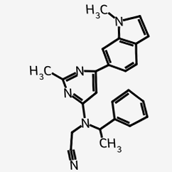 Cc1nc(-c2ccc3ccn(C)c3c2)cc(N(CC#N)C(C)c2ccccc2)n1